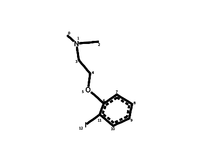 CN(C)CCOc1ccccc1I